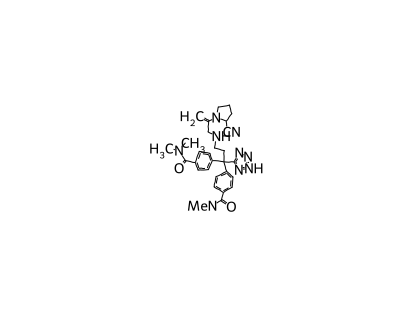 C=C(CNCCC(c1ccc(C(=O)NC)cc1)(c1ccc(C(=O)N(C)C)cc1)c1nn[nH]n1)N1CCCC1C#N